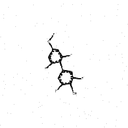 N#Cc1c(F)cc(-c2c(F)cc(OF)cc2F)cc1F